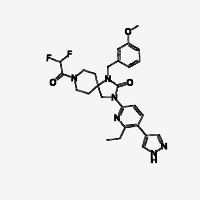 CCc1nc(N2CC3(CCN(C(=O)C(F)F)CC3)N(Cc3cccc(OC)c3)C2=O)ccc1-c1cn[nH]c1